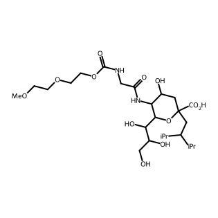 COCCOCCOC(=O)NCC(=O)NC1C(O)CC(CC(C(C)C)C(C)C)(C(=O)O)OC1C(O)C(O)CO